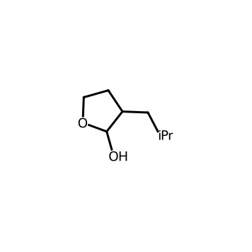 CC(C)CC1CCOC1O